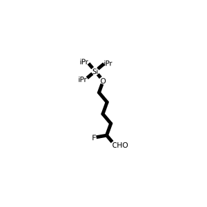 CC(C)[Si](OCCCCC(F)C=O)(C(C)C)C(C)C